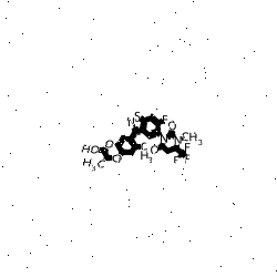 Cc1cc(OC(C)C(=O)O)ccc1-c1nsc2cc(F)c(-n3c(=O)cc(C(F)(F)F)n(C)c3=O)cc12